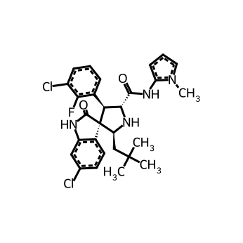 Cn1cccc1NC(=O)[C@@H]1N[C@@H](CC(C)(C)C)[C@@]2(C(=O)Nc3cc(Cl)ccc32)[C@H]1c1cccc(Cl)c1F